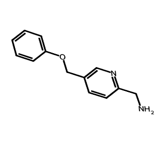 NCc1ccc(COc2ccccc2)cn1